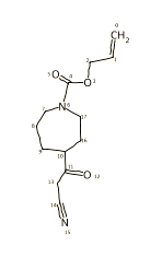 C=CCOC(=O)N1CCCC(C(=O)CC#N)CC1